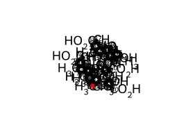 CC1(C)[C@@H](O)CC[C@]2(C)[C@H]3C(=O)C=C4[C@@H]5C[C@@](C)(C(=O)O)CC[C@]5(C)CC[C@@]4(C)[C@]3(C)CC[C@@H]12.CC1(C)[C@@H](O[C@H]2O[C@H](C(=O)O)[C@@H](O)[C@H](O)[C@H]2O[C@@H]2O[C@H](C(=O)O)[C@@H](O)[C@H](O)[C@H]2O)CC[C@]2(C)[C@H]3C(=O)C=C4[C@@H]5C[C@@](C)(C(=O)O)CC[C@]5(C)CC[C@@]4(C)[C@]3(C)CC[C@@H]12